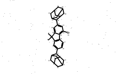 CC1(C)c2cc(C3C4CC5CC(C4)CC3C5)ccc2-c2c(Br)cc(C3C4CC5CC(C4)CC3C5)cc21